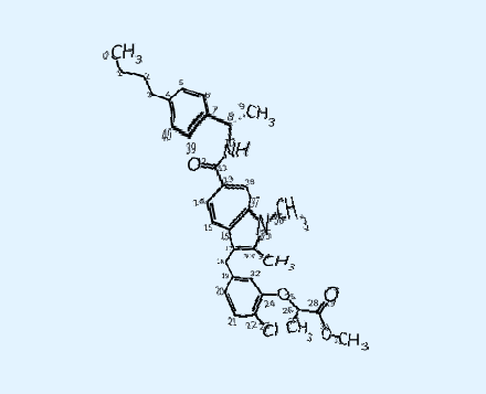 CCCCc1ccc([C@H](C)NC(=O)c2ccc3c(Cc4ccc(Cl)c(O[C@H](C)C(=O)OC)c4)c(C)n(C)c3c2)cc1